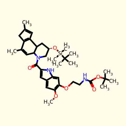 COc1cc2cc(C(=O)N3C[C@@H](O[Si](C)(C)C(C)(C)C)CC4C5=C(CC(C)=C5)C(C)=CC43)[nH]c2cc1OCCNC(=O)OC(C)(C)C